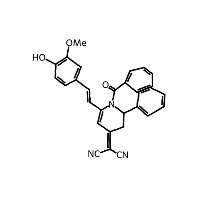 COc1cc(C=CC2=CC(=C(C#N)C#N)CC(c3ccccc3)N2C(=O)c2ccccc2)ccc1O